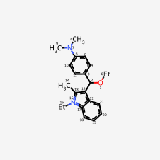 CCOC(c1ccc(N(C)C)cc1)c1c(C)n(CC)c2ccccc12